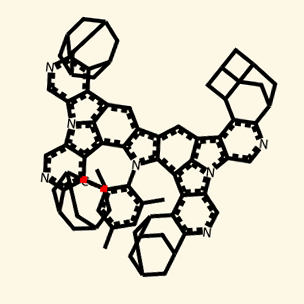 Cc1cc(C)c(-n2c3c(cc4c5c6c(ncc5n5c7cnc8c(c7c3c45)C3CC4CC(CC8C4)C3)C3CC4CC(C3)CC6C4)c3cc4c5c6c(ncc5n5c7cnc8c(c7c(c32)c45)C2CC3CC8CC2C3)C2CC3CC4CC6C34C2)c(C)c1